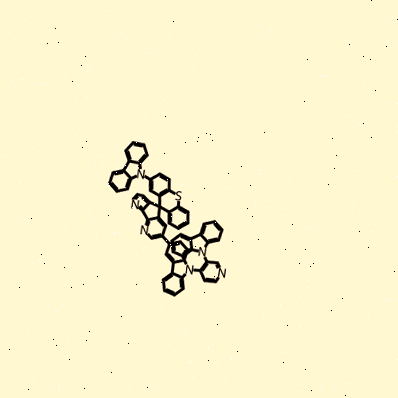 c1ccc2c(c1)Sc1ccc(-n3c4ccccc4c4ccccc43)cc1C21c2cccnc2-c2ncc(-c3ccc4c(c3)c3ccccc3n4-c3ccncc3-n3c4ccccc4c4ccccc43)cc21